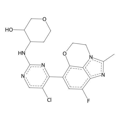 Cc1nc2c(F)cc(-c3nc(NC4CCOCC4O)ncc3Cl)c3c2n1CCO3